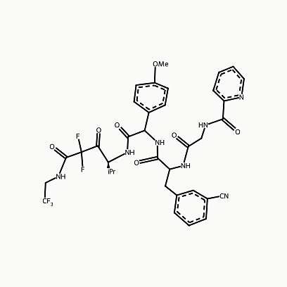 COc1ccc(C(NC(=O)C(Cc2cccc(C#N)c2)NC(=O)CNC(=O)c2ccccn2)C(=O)N[C@H](C(=O)C(F)(F)C(=O)NCC(F)(F)F)C(C)C)cc1